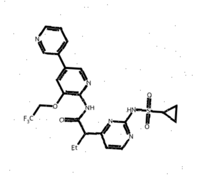 CCC(C(=O)Nc1ncc(-c2cccnc2)cc1OCC(F)(F)F)c1ccnc(NS(=O)(=O)C2CC2)n1